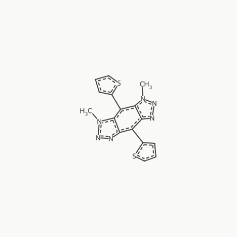 Cn1nnc2c(-c3cccs3)c3nnn(C)c3c(-c3cccs3)c21